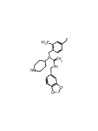 C=C(NCc1ccc2c(c1)OCO2)N(Cc1ccc(F)cc1C)C1CCNCC1